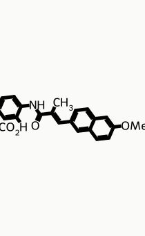 COc1ccc2cc(/C=C(\C)C(=O)Nc3ccccc3C(=O)O)ccc2c1